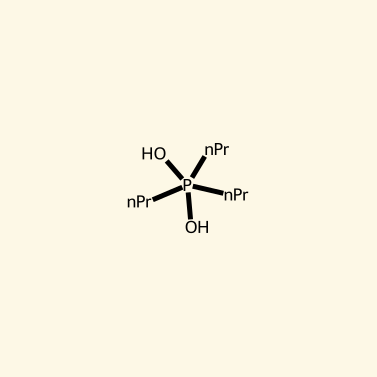 CCCP(O)(O)(CCC)CCC